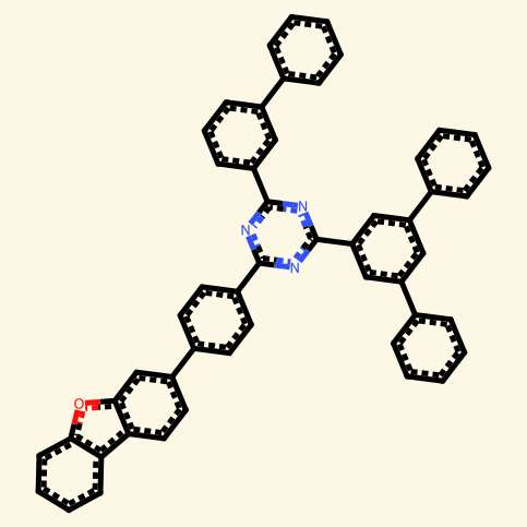 c1ccc(-c2cccc(-c3nc(-c4ccc(-c5ccc6c(c5)oc5ccccc56)cc4)nc(-c4cc(-c5ccccc5)cc(-c5ccccc5)c4)n3)c2)cc1